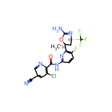 C[C@@]1(c2nc(NC(=O)c3ncc(C#N)cc3Cl)ccc2F)C[C@@H](C(F)(F)F)N=C(N)O1